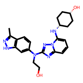 Cc1n[nH]c2cc(N(CCO)c3nc4cccc(N[C@H]5CC[C@@H](O)CC5)n4n3)ccc12